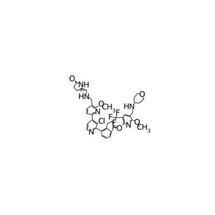 COc1nc(-c2ccnc(-c3cccc4c3CC[C@H]4Oc3nc(OC)c(CNC4CCOCC4)cc3C(F)(F)F)c2Cl)ccc1CNC[C@H]1CCC(=O)N1